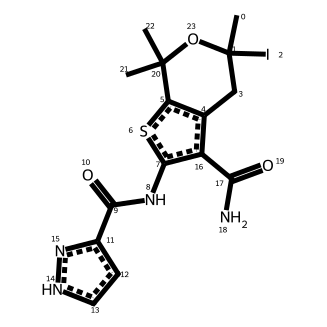 CC1(I)Cc2c(sc(NC(=O)c3cc[nH]n3)c2C(N)=O)C(C)(C)O1